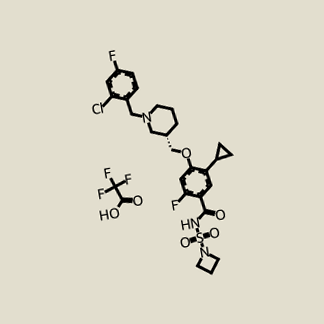 O=C(NS(=O)(=O)N1CCC1)c1cc(C2CC2)c(OC[C@H]2CCCN(Cc3ccc(F)cc3Cl)C2)cc1F.O=C(O)C(F)(F)F